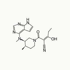 CC/C(O)=C(/C#N)C(=O)N1CC[C@@H](C)[C@@H](N(C)c2ncnc3[nH]ccc23)C1